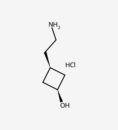 Cl.NCC[C@H]1C[C@@H](O)C1